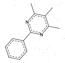 Cc1nc(-c2ccccc2)nc(C)c1C